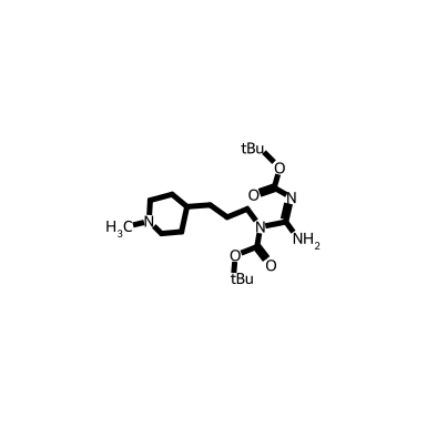 CN1CCC(CCCN(C(=O)OC(C)(C)C)/C(N)=N\C(=O)OC(C)(C)C)CC1